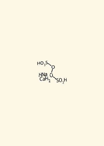 O=S(=O)(O)OOS(=O)(=O)O.[CaH2].[NaH]